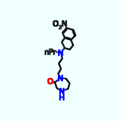 CCCN(CCCCN1CCCNCC1=O)C1CCc2ccc([N+](=O)[O-])cc2C1